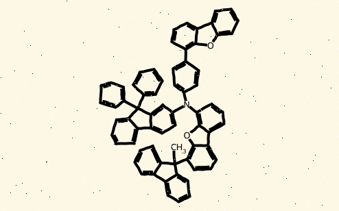 CC1(c2cccc3c2oc2c(N(c4ccc(-c5cccc6c5oc5ccccc56)cc4)c4ccc5c(c4)C(c4ccccc4)(c4ccccc4)c4ccccc4-5)cccc23)c2ccccc2-c2ccccc21